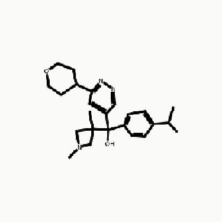 CC(C)c1ccc(C(O)(c2cnnc(C3CCOCC3)c2)C2(C)CN(C)C2)cc1